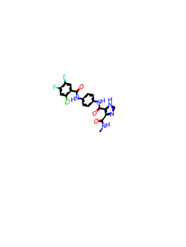 CNC(=O)c1nc[nH]c1C(=O)Nc1ccc(NC(=O)c2cc(F)c(F)cc2Cl)cc1